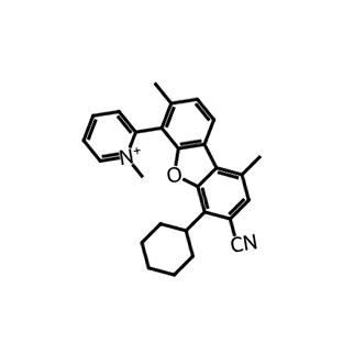 Cc1ccc2c(oc3c(C4CCCCC4)c(C#N)cc(C)c32)c1-c1cccc[n+]1C